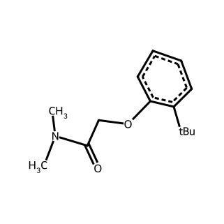 CN(C)C(=O)COc1ccccc1C(C)(C)C